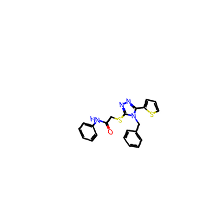 O=C(CSc1nnc(-c2cccs2)n1Cc1ccccc1)Nc1ccccc1